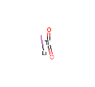 [Li][I].[O]=[Ti]=[O]